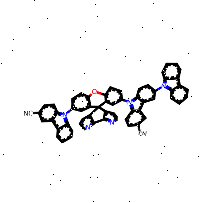 N#Cc1ccc2c(c1)c1ccccc1n2-c1ccc2c(c1)C1(c3cc(-n4c5ccc(C#N)cc5c5cc(-n6c7ccccc7c7ccccc76)ccc54)ccc3O2)c2cccnc2-c2ncccc21